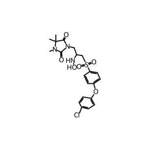 CN1C(=O)N(CC(CS(=O)(=O)c2ccc(Oc3ccc(Cl)cc3)cc2)NO)C(=O)C1(C)C